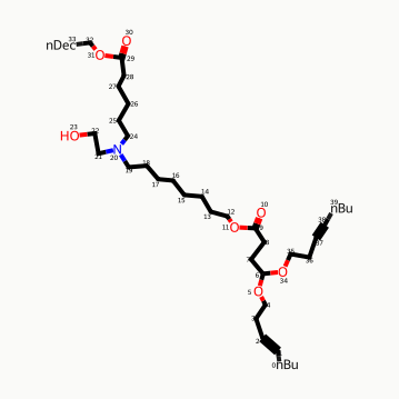 CCCCC#CCCOC(CCC(=O)OCCCCCCCCN(CCO)CCCCCC(=O)OCCCCCCCCCCC)OCCC#CCCCC